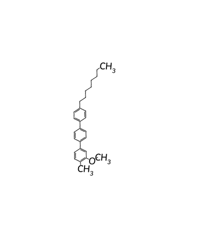 CCCCCCCCc1ccc(-c2ccc(-c3ccc(C)c(OC)c3)cc2)cc1